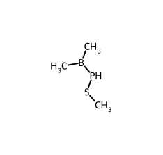 CSPB(C)C